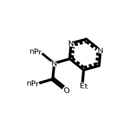 CCCC(=O)N(CCC)c1ncncc1CC